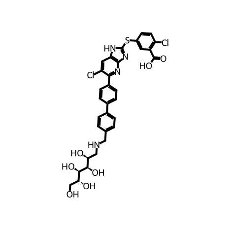 O=C(O)c1cc(Sc2nc3nc(-c4ccc(-c5ccc(CNC[C@H](O)[C@@H](O)[C@H](O)[C@H](O)CO)cc5)cc4)c(Cl)cc3[nH]2)ccc1Cl